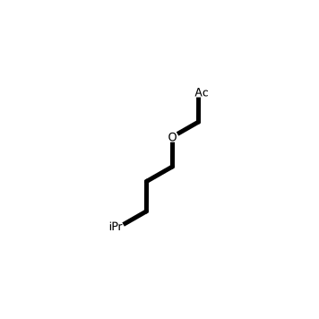 CC(=O)COCCCC(C)C